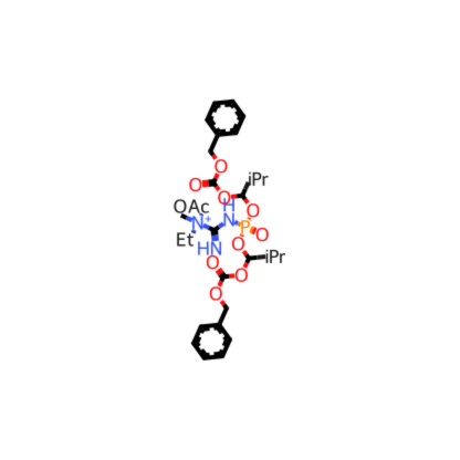 CC[N+](C)(OC(C)=O)C(=N)NP(=O)(OC(OC(=O)OCc1ccccc1)C(C)C)OC(OC(=O)OCc1ccccc1)C(C)C